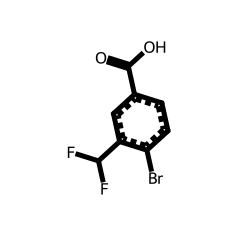 O=C(O)c1ccc(Br)c(C(F)F)c1